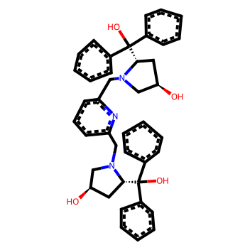 O[C@@H]1C[C@@H](C(O)(c2ccccc2)c2ccccc2)N(Cc2cccc(CN3C[C@H](O)C[C@H]3C(O)(c3ccccc3)c3ccccc3)n2)C1